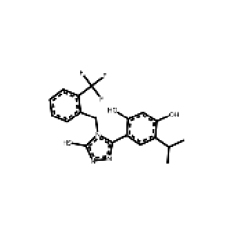 CC(C)c1cc(-c2nnc(S)n2Cc2ccccc2C(F)(F)F)c(O)cc1O